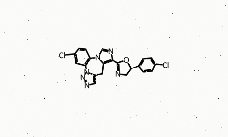 Clc1ccc([C@H]2CN=C(c3ncn4c3Cc3cnnn3-c3cc(Cl)ccc3-4)O2)cc1